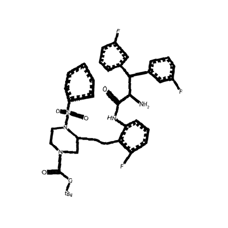 CC(C)(C)OC(=O)N1CCN(S(=O)(=O)c2ccccc2)C(CCc2c(F)cccc2NC(=O)C(N)C(c2cccc(F)c2)c2cccc(F)c2)C1